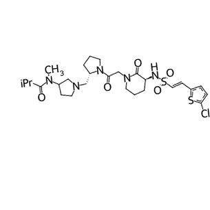 CC(C)C(=O)N(C)C1CCN(C[C@@H]2CCCN2C(=O)CN2CCC[C@H](NS(=O)(=O)/C=C/c3ccc(Cl)s3)C2=O)C1